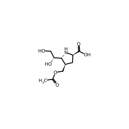 CC(=O)OC[C@@H]1C[C@H](C(=O)O)N[C@H]1[C@H](O)CO